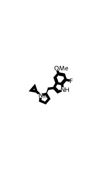 COc1cc(F)c2[nH]cc(C[C@H]3CCCN3C3CC3)c2c1